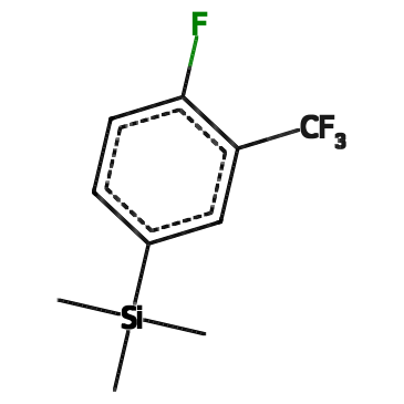 C[Si](C)(C)c1ccc(F)c(C(F)(F)F)c1